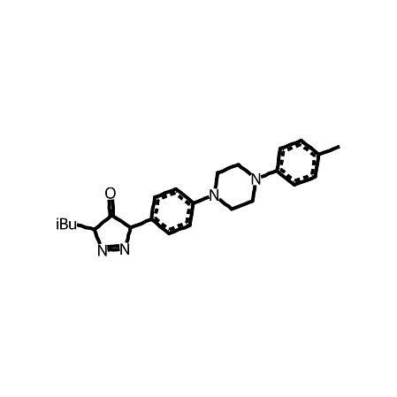 CCC(C)C1N=NC(c2ccc(N3CCN(c4ccc(C)cc4)CC3)cc2)C1=O